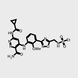 CCS(=O)(=O)NCc1nc(-c2cccc(Nc3cc(NC(=O)C4CC4)nnc3C(N)=O)c2OC)no1